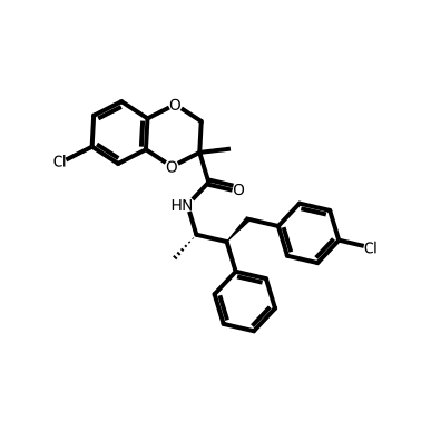 C[C@H](NC(=O)C1(C)COc2ccc(Cl)cc2O1)[C@@H](Cc1ccc(Cl)cc1)c1ccccc1